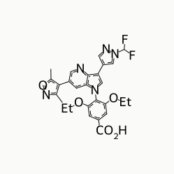 CCOc1cc(C(=O)O)cc(OCC)c1-n1cc(-c2cnn(C(F)F)c2)c2ncc(-c3c(C)noc3C)cc21